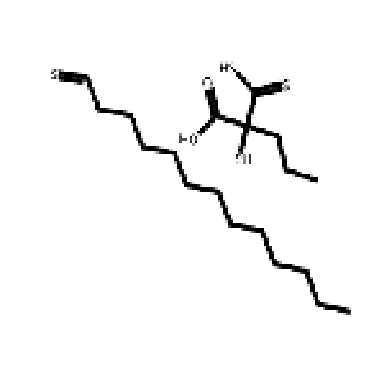 CCCC(S)(C(=O)O)C(=S)S.CCCCCCCCCCCCC=S